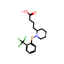 O=C(O)CCCC1CCCCN1Sc1ccccc1C(F)(F)F